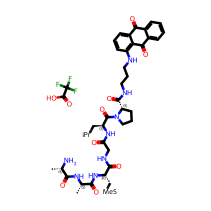 CSC[C@H](NC(=O)[C@H](C)NC(=O)[C@H](C)N)C(=O)NCC(=O)N[C@@H](CC(C)C)C(=O)N1CCC[C@H]1C(=O)NCCCNc1cccc2c1C(=O)c1ccccc1C2=O.O=C(O)C(F)(F)F